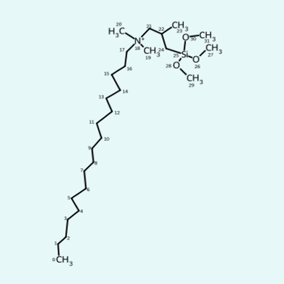 CCCCCCCCCCCCCCCCCC[N+](C)(C)CC(C)C[Si](OC)(OC)OC